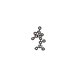 c1ccc(-c2cc(-c3ccccc3)c(-n3c4ccc(-c5ccccc5)cc4n4c5cc(-c6ccc(-c7nc(-c8ccccc8)cc(-c8ccccc8)n7)cc6-c6ccccc6)ccc5nc34)c(-c3ccccc3)c2)cc1